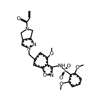 C=CC(=O)N1Cc2cn(Cc3cc(OC)c4c(NS(=O)(=O)c5c(OC)cccc5OC)noc4c3)nc2C1